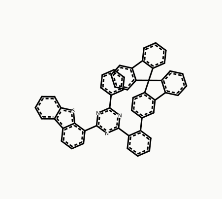 c1ccc(-c2nc(-c3ccccc3-c3ccc4c(c3)-c3ccccc3C43c4ccccc4-c4ccccc43)nc(-c3cccc4c3sc3ccccc34)n2)cc1